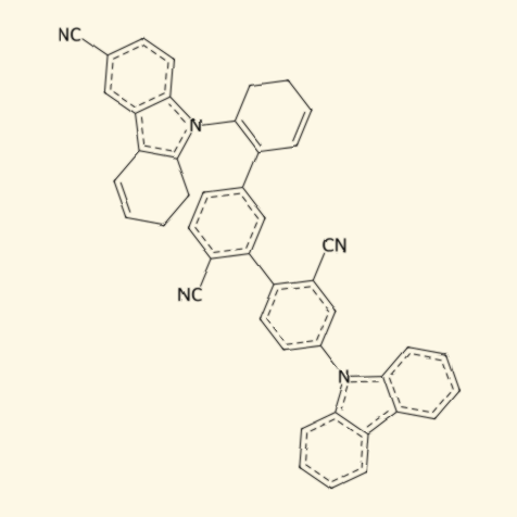 N#Cc1ccc2c(c1)c1c(n2C2=C(c3ccc(C#N)c(-c4ccc(-n5c6ccccc6c6ccccc65)cc4C#N)c3)C=CCC2)CCC=C1